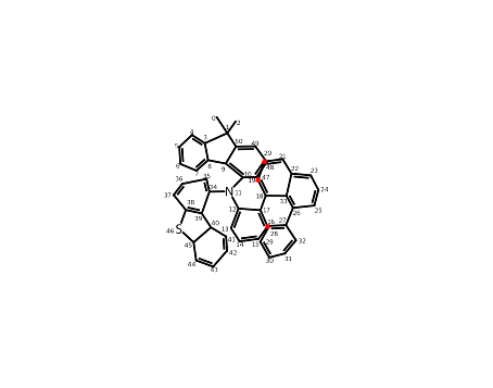 CC1(C)c2ccccc2-c2c(N(c3ccccc3-c3cccc4cccc(-c5ccccc5)c34)c3cccc4c3C3C=CC=CC3S4)cccc21